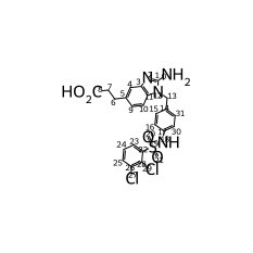 Nc1nc2cc(CCC(=O)O)ccc2n1Cc1ccc(NS(=O)(=O)c2cccc(Cl)c2Cl)cc1